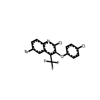 FC(F)(F)c1c(Oc2ccc(Cl)cc2)c(Cl)nc2ccc(Br)cc12